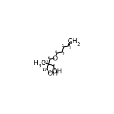 C=CCCCOCC(C)(CO)CO